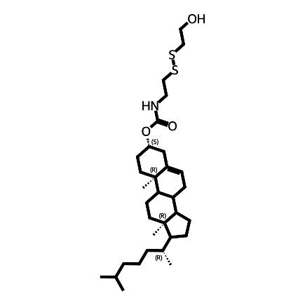 CC(C)CCC[C@@H](C)C1CCC2C3CC=C4C[C@@H](OC(=O)NCCSSCCO)CC[C@]4(C)C3CC[C@@]21C